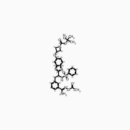 CC(=O)ON=C(N)c1cccc(CC(NS(=O)(=O)c2ccccc2)c2nc3ccc(OC4CN(C(=O)OC(C)(C)C)C4)cc3s2)c1